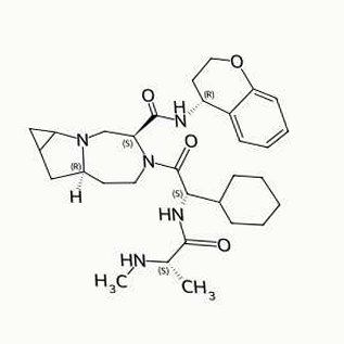 CN[C@@H](C)C(=O)N[C@H](C(=O)N1CC[C@H]2CC3CC3N2C[C@H]1C(=O)N[C@@H]1CCOc2ccccc21)C1CCCCC1